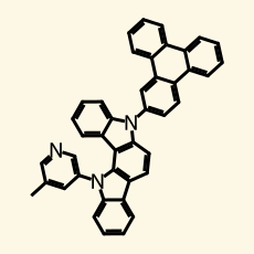 Cc1cncc(-n2c3ccccc3c3ccc4c(c5ccccc5n4-c4ccc5c6ccccc6c6ccccc6c5c4)c32)c1